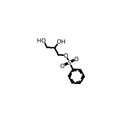 O=S(=O)(OCC(O)CO)c1ccccc1